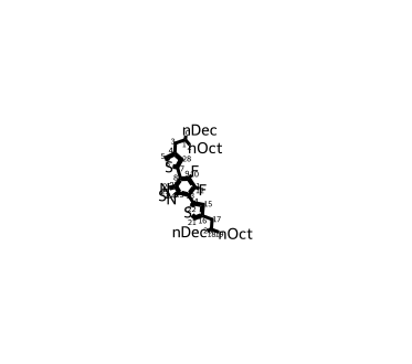 CCCCCCCCCCC(CCCCCCCC)Cc1csc(-c2c(F)c(F)c(-c3cc(CC(CCCCCCCC)CCCCCCCCCC)cs3)c3nsnc23)c1